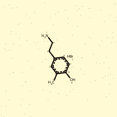 Br.Cc1cc(CCN)ccc1O